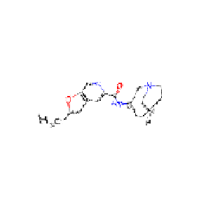 Cc1cc2cc(C(=O)N[C@@H]3C[C@@H]4CCN(C4)C3)ncc2o1